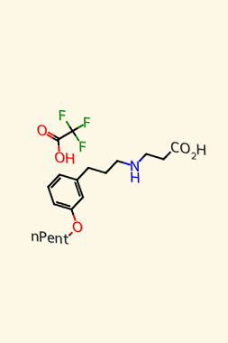 CCCCCOc1cccc(CCCNCCC(=O)O)c1.O=C(O)C(F)(F)F